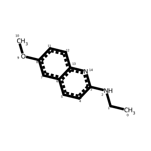 CCNc1[c]cc2cc(OC)ccc2n1